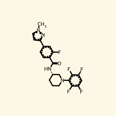 Cn1ccc(-c2ccc(C(=O)N[C@H]3CCCN(c4c(F)c(F)cc(F)c4F)C3)c(F)c2)n1